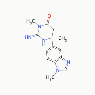 CN1C(=N)NC(C)(c2ccc3c(c2)ncn3C)CC1=O